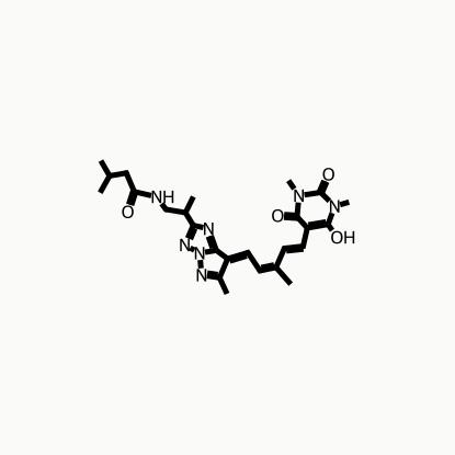 CC(C=Cc1c(O)n(C)c(=O)n(C)c1=O)=CC=c1c(C)nn2nc(C(C)CNC(=O)CC(C)C)nc12